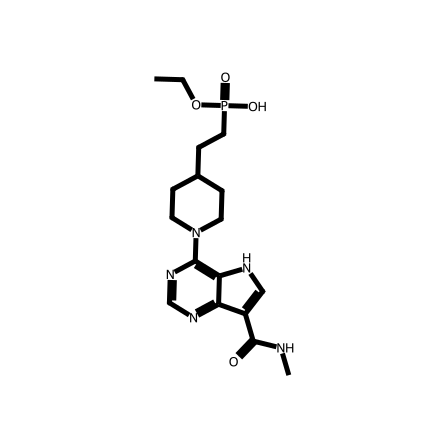 CCOP(=O)(O)CCC1CCN(c2ncnc3c(C(=O)NC)c[nH]c23)CC1